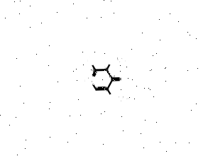 COC1=CN=C(C)C(OC)C1=O